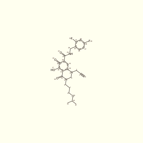 C#CCN1CN(CCCOC(C)C)C(=O)c2c(O)c(=O)c(C(=O)NCc3ccc(F)cc3F)cn21